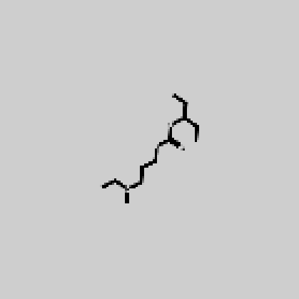 CCC(CC)OC(=O)OCCCN(C)CC